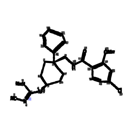 CN/C(=N\C#N)N[C@H]1CC[C@](CNC(=O)c2ccc(Cl)cc2OC)(c2ccccc2)CC1